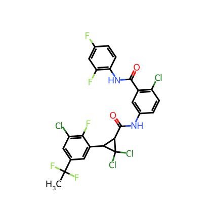 CC(F)(F)c1cc(Cl)c(F)c(C2C(C(=O)Nc3ccc(Cl)c(C(=O)Nc4ccc(F)cc4F)c3)C2(Cl)Cl)c1